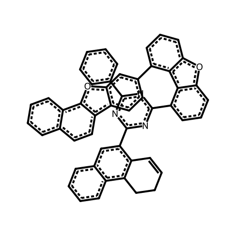 C1=Cc2c(-c3nc(-c4ccccc4)nc(-c4cccc5oc6cccc(-c7ccc8c(c7)oc7c9ccccc9ccc87)c6c45)n3)cc3ccccc3c2CC1